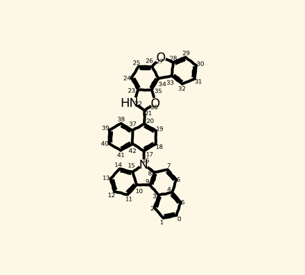 c1ccc2c(c1)ccc1c2c2ccccc2n1-c1ccc(C2Nc3ccc4oc5ccccc5c4c3O2)c2ccccc12